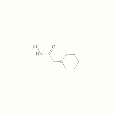 CCNC(=O)CN1CC[CH]CC1